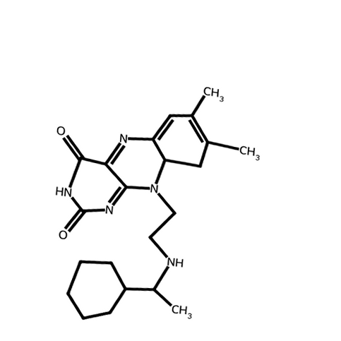 CC1=C(C)CC2C(=C1)N=C1C(=O)NC(=O)N=C1N2CCNC(C)C1CCCCC1